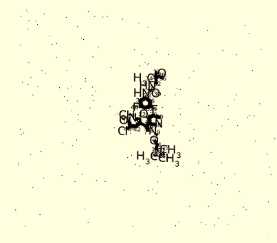 COc1ncc(-c2cn(COCC[Si](C)(C)C)c3nccc(Oc4c(F)cc(NC(=O)NCC5(C)COC5)cc4F)c23)cc1Cl